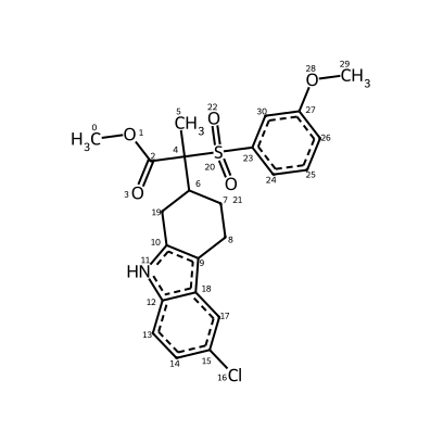 COC(=O)C(C)(C1CCc2c([nH]c3ccc(Cl)cc23)C1)S(=O)(=O)c1cccc(OC)c1